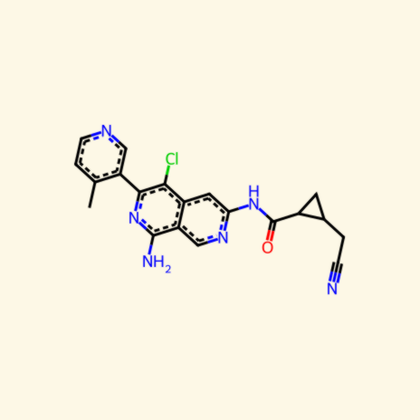 Cc1ccncc1-c1nc(N)c2cnc(NC(=O)C3CC3CC#N)cc2c1Cl